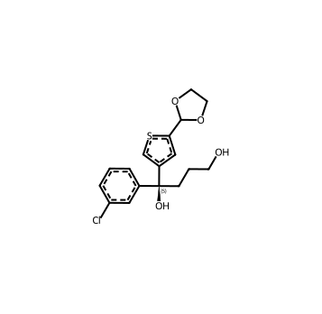 OCCC[C@](O)(c1cccc(Cl)c1)c1csc(C2OCCO2)c1